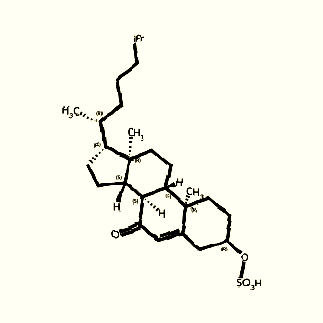 CC(C)CCC[C@@H](C)[C@H]1CC[C@H]2[C@@H]3C(=O)C=C4C[C@H](OS(=O)(=O)O)CC[C@]4(C)[C@H]3CC[C@]12C